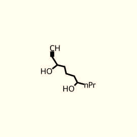 C#CC(O)CCCC(O)CCC